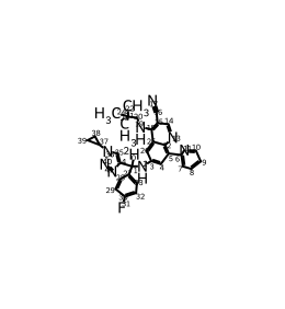 [2H]C(Nc1cc(-c2ccccn2)c2ncc(C#N)c(NCC(C)(C)C)c2c1)(c1ccc(F)cc1)c1cn(C2CC2)nn1